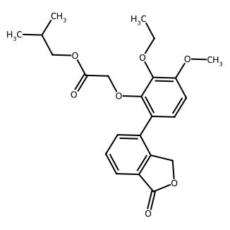 CCOc1c(OC)ccc(-c2cccc3c2COC3=O)c1OCC(=O)OCC(C)C